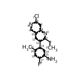 CCc1nc2cc(Cl)ncc2cc1-c1cc(N)c(F)cc1C